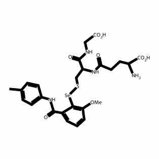 COc1cccc(C(=O)Nc2ccc(C)cc2)c1[Se]SCC(NC(=O)CCC(N)C(=O)O)C(=O)NCC(=O)O